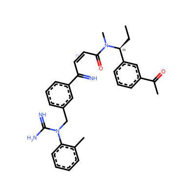 CC[C@@H](c1cccc(C(C)=O)c1)N(C)C(=O)/C=C\C(=N)c1cccc(CN(C(=N)N)c2ccccc2C)c1